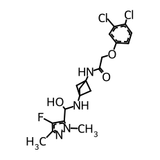 Cc1nn(C)c(C(O)NC23CC(NC(=O)COc4ccc(Cl)c(Cl)c4)(C2)C3)c1F